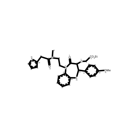 CCOC(=O)COC1C(=O)N(CCN(C)C(=O)Cc2cccs2)c2ccccc2SC1c1ccc(OC)cc1